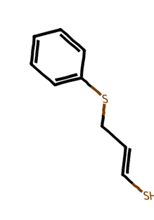 SC=CCSc1ccccc1